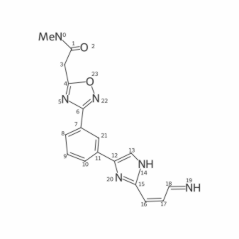 CNC(=O)Cc1nc(-c2cccc(-c3c[nH]c(/C=C\C=N)n3)c2)no1